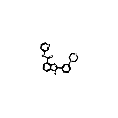 O=C(Nc1cnccn1)c1cccc2[nH]c(-c3cccc(N4CCOCC4)c3)nc12